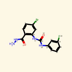 NNC(=O)c1ccc(Br)cc1NC(=O)Nc1cccc(F)c1